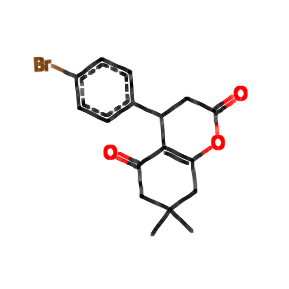 CC1(C)CC(=O)C2=C(C1)OC(=O)CC2c1ccc(Br)cc1